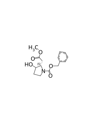 COC(=O)C[C@H]1C(O)CCN1C(=O)OCc1ccccc1